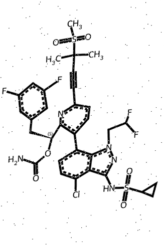 CC(C)(C#Cc1ccc(-c2ccc(Cl)c3c(NS(=O)(=O)C4CC4)nn(CC(F)F)c23)c([C@H](Cc2cc(F)cc(F)c2)OC(N)=O)n1)S(C)(=O)=O